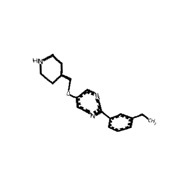 CCc1cccc(-c2ncc(OCC3CCNCC3)cn2)c1